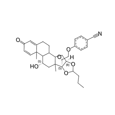 CCCC1O[C@@H]2CC3C4CCC5=CC(=O)C=CC5(C)C4[C@@H](O)CC3(C)[C@]2(C(=O)COc2ccc(C#N)cc2)O1